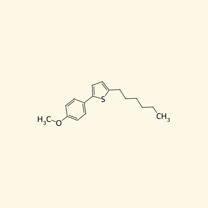 CCCCCCc1ccc(-c2ccc(OC)cc2)s1